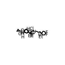 CCOC1(CCCN2C[C@@H]3[C@H](C2)C3(CC)c2cccc(NS(=O)(=O)C3CC3)c2)CCC(F)(F)CC1.Cl